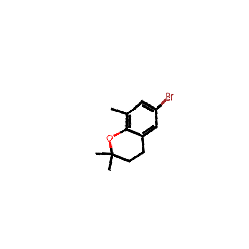 Cc1cc(Br)cc2c1OC(C)(C)CC2